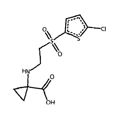 O=C(O)C1(NCCS(=O)(=O)c2ccc(Cl)s2)CC1